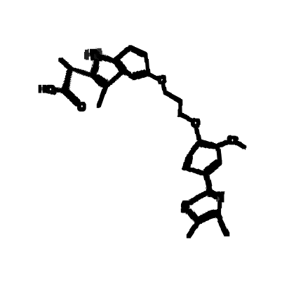 COc1cc(-c2nc(C)c(C)s2)ccc1OCCCOc1ccc2[nH]c(C(C)C(=O)O)c(C)c2c1